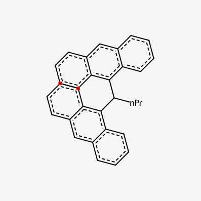 CCCC(c1c2ccccc2cc2ccccc12)c1c2ccccc2cc2ccccc12